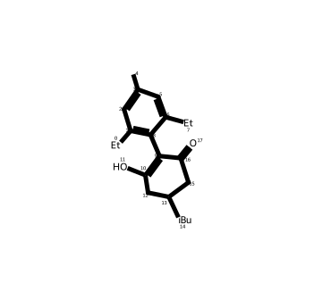 CCc1cc(C)cc(CC)c1C1=C(O)CC(C(C)CC)CC1=O